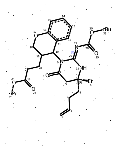 C=CCC[C@]1(CC)CC(=O)N(C2c3ccccc3OCC2CCC(=O)OC(C)C)/C(=N/C(=O)OC(C)(C)C)N1